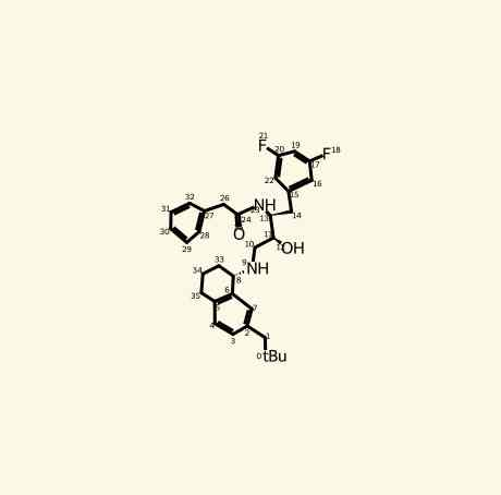 CC(C)(C)Cc1ccc2c(c1)[C@@H](NC[C@H](O)[C@H](Cc1cc(F)cc(F)c1)NC(=O)Cc1ccccc1)CCC2